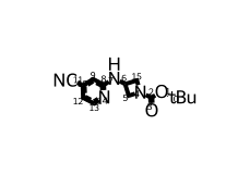 CC(C)(C)OC(=O)N1CC(Nc2cc(C#N)ccn2)C1